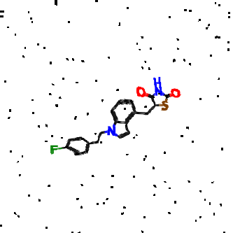 O=C1NC(=O)C(Cc2cccc3c2ccn3CCc2ccc(F)cc2)S1